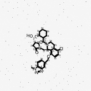 Cn1nnc2cc(COc3ccc(Cl)c4c3[C@@H](CN3CCCC3=O)N(C(=O)C3CCCC[C@H]3C(=O)O)CC4)ccc21